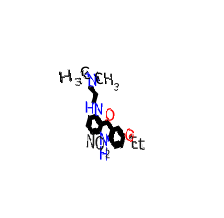 CCOc1ccc2[nH]c3c([N+](=O)[O-])ccc(NCCCN(C)C)c3c(=O)c2c1